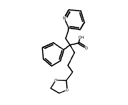 O=C(O)C(CCCC1OCCO1)(Cc1ccccn1)c1ccccc1